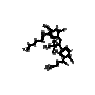 CCOC(=O)c1cn(C(Cc2cc(OCCCOC)c(Cl)nc2I)C(C)(C)C)ccc1=O